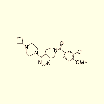 COc1ccc(C(=O)N2CCc3c(ncnc3N3CCN(C4CCC4)CC3)C2)cc1Cl